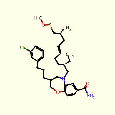 CC[C@H](CC/C=C/C[C@H](C)CSOC)CN1CC(CCCc2cccc(Cl)c2)COc2ccc(C(N)=O)cc21